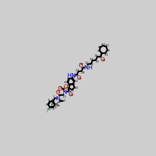 C[C@H](N(Cc1ccc(F)cc1)C(=O)CN1C(=O)OC2(CCc3cc(NC(=O)CCC(=O)NCCCCCC(=O)C4CCCCCC4)ccc32)C1=O)C(F)(F)F